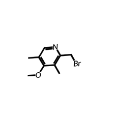 COc1c(C)cnc(CBr)c1C